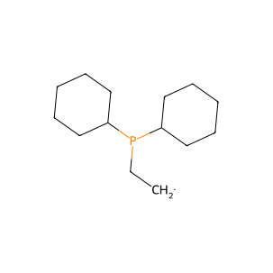 [CH2]CP(C1CCCCC1)C1CCCCC1